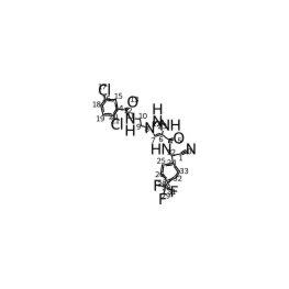 N#CC(NC(=O)C1=CN(CCNC(=O)c2cc(Cl)ccc2Cl)NN1)c1ccc(C(F)(F)F)cc1